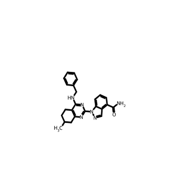 CC1CCc2c(nc(-n3ncc4c(C(N)=O)cccc43)nc2NCc2ccccc2)C1